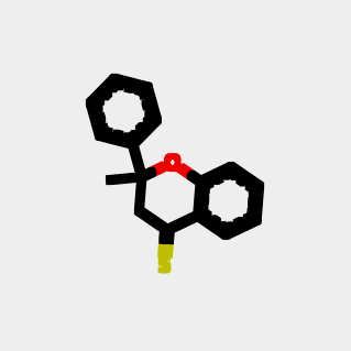 CC1(c2ccccc2)CC(=S)c2ccccc2O1